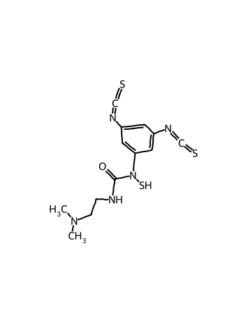 CN(C)CCNC(=O)N(S)c1cc(N=C=S)cc(N=C=S)c1